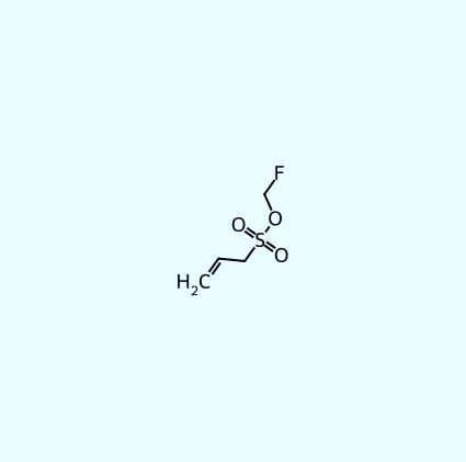 C=CCS(=O)(=O)OCF